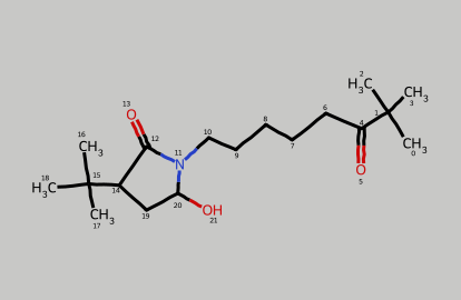 CC(C)(C)C(=O)CCCCCN1C(=O)C(C(C)(C)C)CC1O